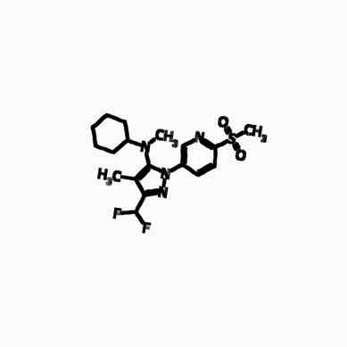 Cc1c(C(F)F)nn(-c2ccc(S(C)(=O)=O)nc2)c1N(C)C1CCCCC1